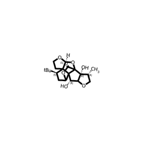 C[C@@H]1COC2[C@H](O)C34C5C[C@@H](C(C)(C)C)C36CCO[C@H]6OC4(C(=O)O5)[C@]21O